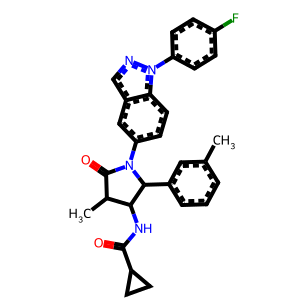 Cc1cccc(C2C(NC(=O)C3CC3)C(C)C(=O)N2c2ccc3c(cnn3-c3ccc(F)cc3)c2)c1